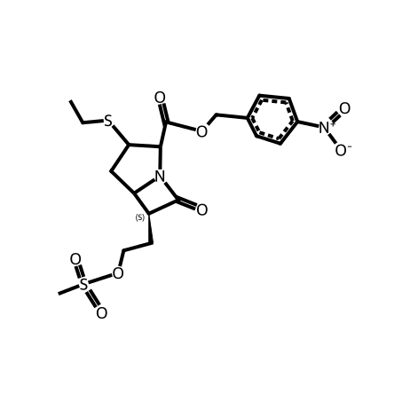 CCSC1CC2[C@H](CCOS(C)(=O)=O)C(=O)N2C1C(=O)OCc1ccc([N+](=O)[O-])cc1